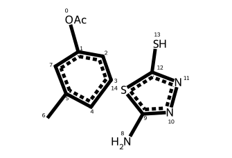 CC(=O)Oc1cccc(C)c1.Nc1nnc(S)s1